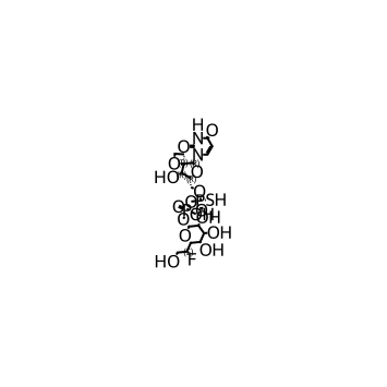 O=c1ccn([C@@H]2O[C@H](COP(=O)(S)OP(=O)(O)OC3OC([C@@H](F)CO)C(O)C(O)C3O)[C@@H](O)[C@]23CCO3)c(=O)[nH]1